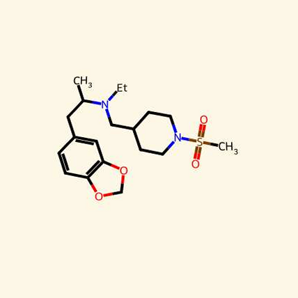 CCN(CC1CCN(S(C)(=O)=O)CC1)C(C)Cc1ccc2c(c1)OCO2